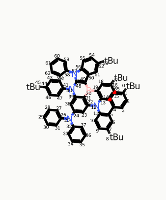 CC(C)(C)c1ccc(-c2cc(C(C)(C)C)ccc2N2c3ccc(C(C)(C)C)cc3B3c4c2cc(N(c2ccccc2)c2ccccc2)cc4N(c2ccc(C(C)(C)C)cc2)c2c3c3cc(C(C)(C)C)ccc3n2-c2ccccc2)cc1